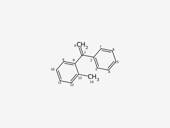 C=C(c1cc[c]cc1)c1ccccc1C